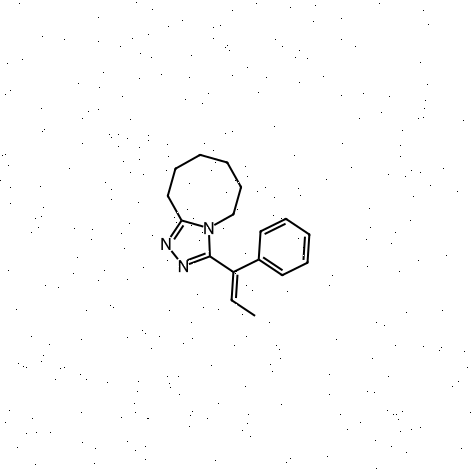 C/C=C(\c1ccccc1)c1nnc2n1CCCCCC2